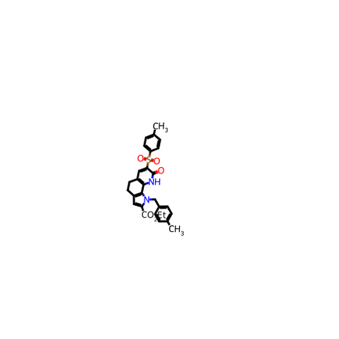 CCOC(=O)c1cc2c(n1Cc1ccc(C)cc1)-c1[nH]c(=O)c(S(=O)(=O)c3ccc(C)cc3)cc1CC2